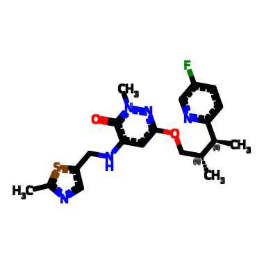 Cc1ncc(CNc2cc(OC[C@@H](C)[C@H](C)c3ccc(F)cn3)nn(C)c2=O)s1